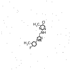 Cc1cc(-n2cc(CNc3ncc(Cl)c(C)n3)nn2)ccc1F